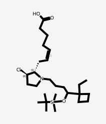 CCC1(C(CCCN2CC[C@@H](Cl)[C@@H]2C/C=C\CCCC(=O)O)O[Si](C)(C)C(C)(C)C)CCC1